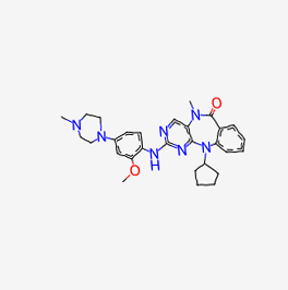 COc1cc(N2CCN(C)CC2)ccc1Nc1ncc2c(n1)N(C1CCCC1)c1ccccc1C(=O)N2C